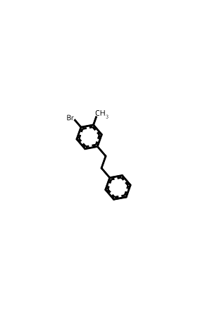 Cc1cc(CCc2ccccc2)ccc1Br